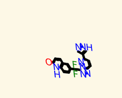 O=c1ccc2cc(C(F)(F)c3nnc4ccc(-c5cn[nH]c5)nn34)ccc2[nH]1